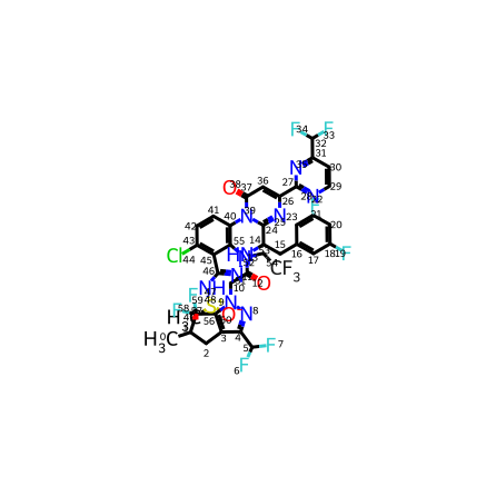 CC1Cc2c(C(F)F)nn(CC(=O)NC(Cc3cc(F)cc(F)c3)c3nc(-c4nccc(C(F)F)n4)cc(=O)n3-c3ccc(Cl)c4c(N[S+](C)[O-])nn(CC(F)(F)F)c34)c2C1(F)F